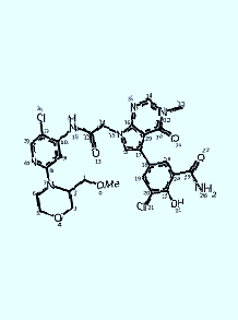 COCC1COCCN1c1cc(NC(=O)Cn2cc(-c3cc(Cl)c(O)c(C(N)=O)c3)c3c(=O)n(C)cnc32)c(Cl)cn1